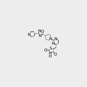 O=C1NC(=O)C(=Cc2ccnc(N3CCC(c4nc(-c5ccncc5)no4)CC3)n2)S1